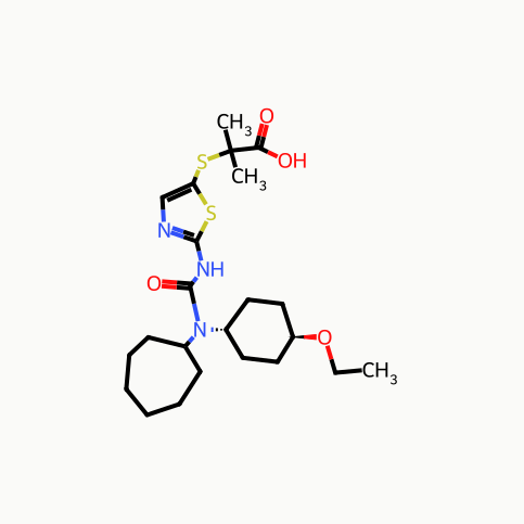 CCO[C@H]1CC[C@H](N(C(=O)Nc2ncc(SC(C)(C)C(=O)O)s2)C2CCCCCC2)CC1